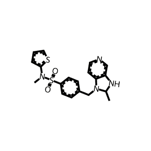 CC1Nc2cnccc2N1Cc1ccc(S(=O)(=O)N(C)c2cccs2)cc1